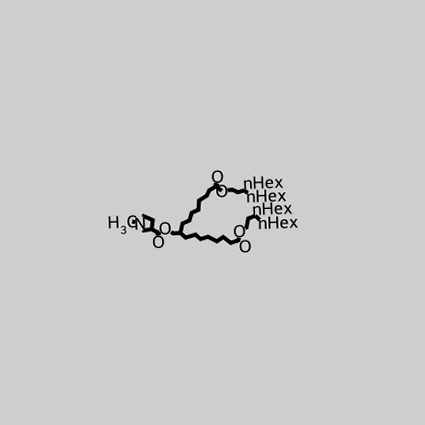 CCCCCCC(CCCCCC)CCOC(=O)CCCCCCCC(CCCCCCCC(=O)OCCC(CCCCCC)CCCCCC)COC(=O)C1CCN(C)C1